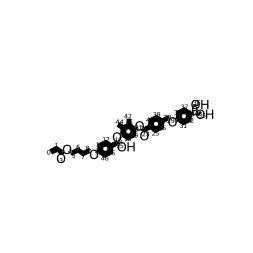 C=CC(=O)OCCCCOc1ccc(C(O)Oc2ccc(OC(=O)c3ccc(COc4ccc(B(O)O)cc4)cc3)c(C)c2C)cc1